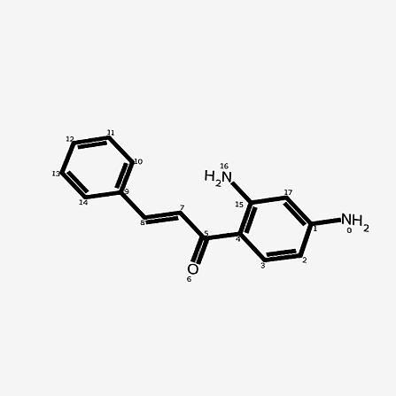 Nc1ccc(C(=O)C=Cc2ccccc2)c(N)c1